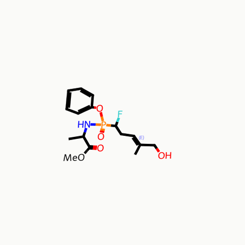 COC(=O)C(C)NP(=O)(Oc1ccccc1)C(F)C/C=C(\C)CO